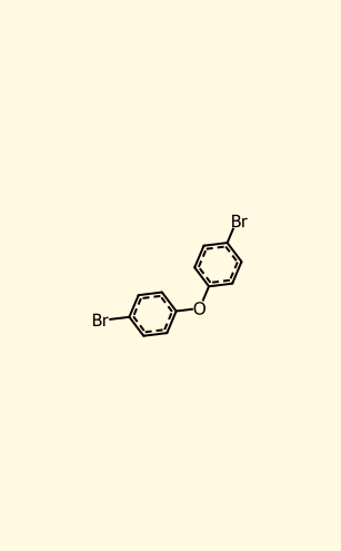 Brc1ccc(Oc2ccc(Br)cc2)cc1